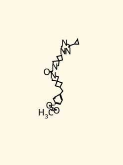 CS(=O)(=O)c1ccc(CC2CC3(C2)CN(C(=O)N2CC4(CC(n5cnc(C6CC6)n5)C4)C2)C3)cc1